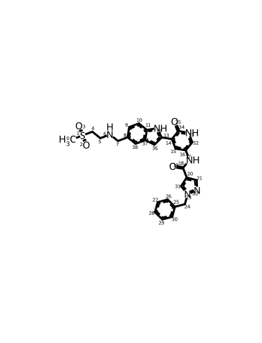 CS(=O)(=O)CCNCc1ccc2[nH]c(-c3cc(NC(=O)c4cnn(Cc5ccccc5)c4)c[nH]c3=O)cc2c1